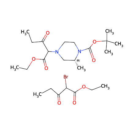 CCOC(=O)C(Br)C(=O)CC.CCOC(=O)C(C(=O)CC)N1CCN(C(=O)OC(C)(C)C)[C@H](C)C1